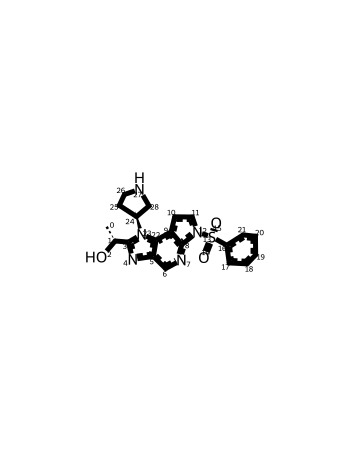 C[C@@H](O)c1nc2cnc3c(ccn3S(=O)(=O)c3ccccc3)c2n1[C@H]1CCNC1